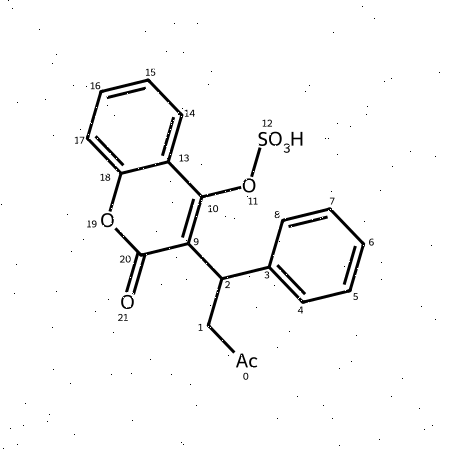 CC(=O)CC(c1ccccc1)c1c(OS(=O)(=O)O)c2ccccc2oc1=O